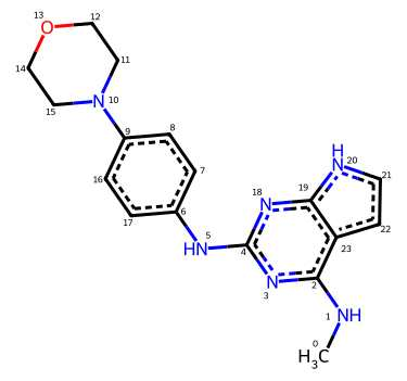 CNc1nc(Nc2ccc(N3CCOCC3)cc2)nc2[nH]ccc12